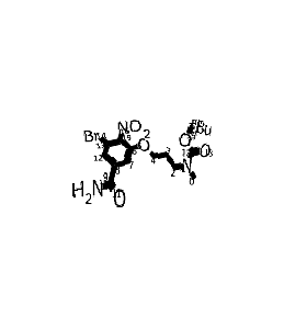 CN(CCCOc1cc(C(N)=O)cc(Br)c1[N+](=O)[O-])C(=O)OC(C)(C)C